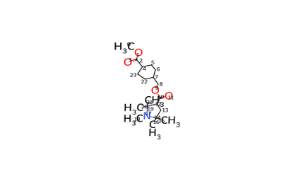 COC(=O)C1CCC(COC(=O)C2CC(C)(C)N(C)C2(C)C)CC1